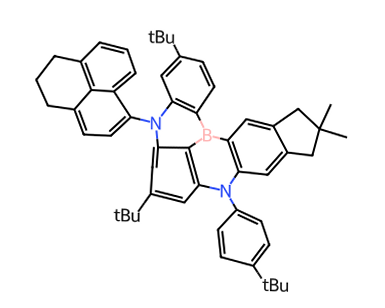 CC1(C)Cc2cc3c(cc2C1)N(c1ccc(C(C)(C)C)cc1)c1cc(C(C)(C)C)cc2c1B3c1ccc(C(C)(C)C)cc1N2c1ccc2c3c(cccc13)CCC2